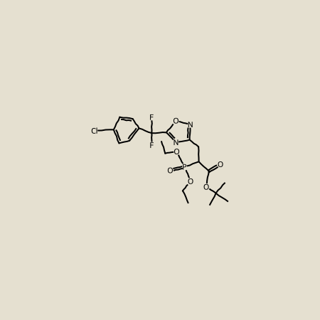 CCOP(=O)(OCC)C(Cc1noc(C(F)(F)c2ccc(Cl)cc2)n1)C(=O)OC(C)(C)C